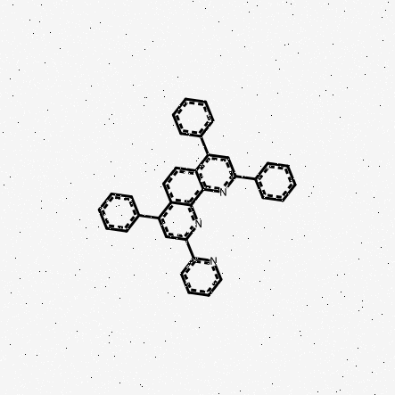 c1ccc(-c2cc(-c3ccccc3)c3ccc4c(-c5ccccc5)cc(-c5ccccn5)nc4c3n2)cc1